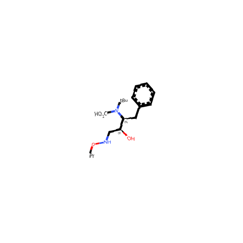 CC(C)ONC[C@H](O)[C@H](Cc1ccccc1)N(C(=O)O)C(C)(C)C